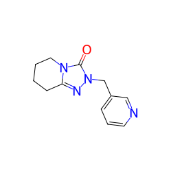 O=c1n(Cc2cccnc2)nc2n1CCCC2